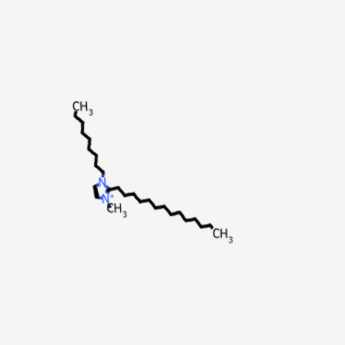 CCCCCCCCCCCCCCc1n(CCCCCCCCC)cc[n+]1C